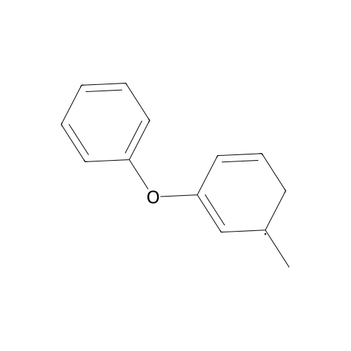 C[C]1C=C(Oc2ccccc2)C=CC1